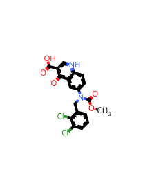 COC(=O)N(Cc1cccc(Cl)c1Cl)c1ccc2[nH]cc(C(=O)O)c(=O)c2c1